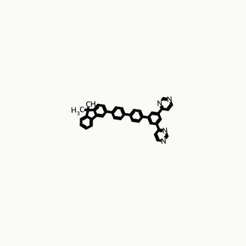 CC1(C)c2ccccc2-c2cc(-c3ccc(-c4ccc(-c5cc(-c6ccncn6)cc(-c6ccncn6)c5)cc4)cc3)ccc21